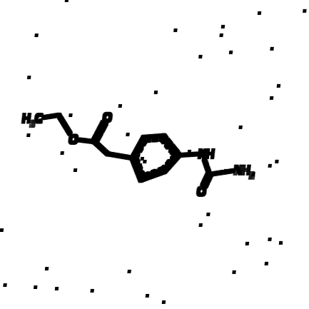 CCOC(=O)Cc1ccc(NC(N)=O)cc1